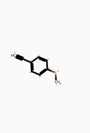 C#Cc1ccc(SC)cc1